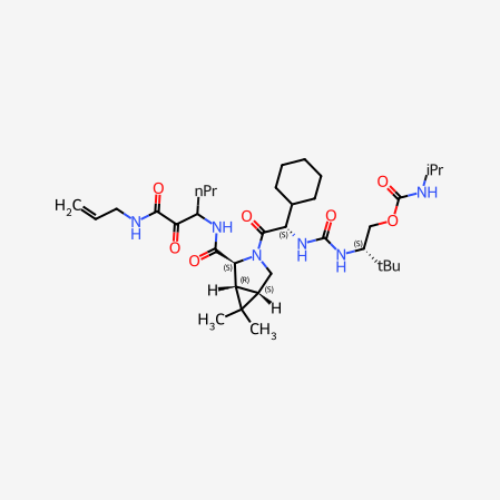 C=CCNC(=O)C(=O)C(CCC)NC(=O)[C@@H]1[C@@H]2[C@H](CN1C(=O)[C@@H](NC(=O)N[C@H](COC(=O)NC(C)C)C(C)(C)C)C1CCCCC1)C2(C)C